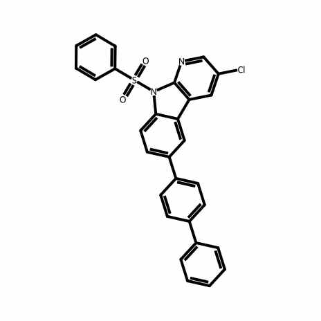 O=S(=O)(c1ccccc1)n1c2ccc(-c3ccc(-c4ccccc4)cc3)cc2c2cc(Cl)cnc21